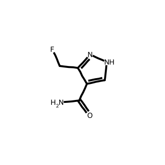 NC(=O)c1c[nH]nc1CF